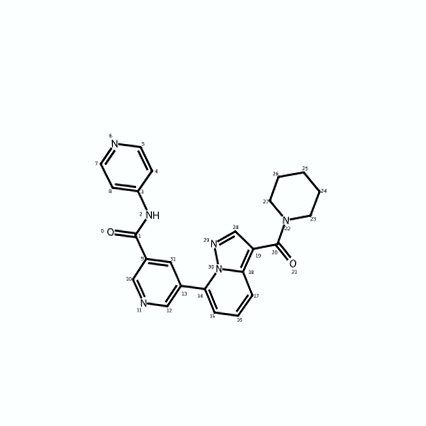 O=C(Nc1ccncc1)c1cncc(-c2cccc3c(C(=O)N4CCCCC4)cnn23)c1